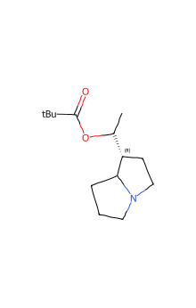 CC(OC(=O)C(C)(C)C)[C@@H]1CCN2CCCC12